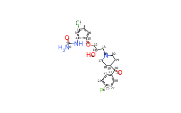 NC(=O)Nc1cc(Cl)ccc1OCC(O)CN1CCC(C(=O)c2ccc(F)cc2)CC1